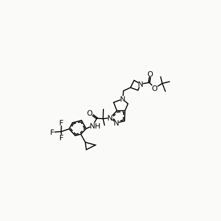 CC(C)(C)OC(=O)N1CC(CN2Cc3cnn(C(C)(C)C(=O)Nc4ccc(C(F)(F)F)cc4C4CC4)c3C2)C1